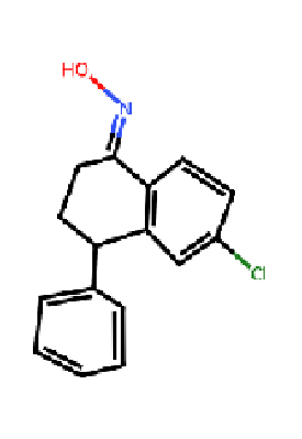 ON=C1CCC(c2ccccc2)c2cc(Cl)ccc21